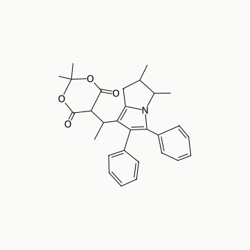 CC1Cc2c(C(C)C3C(=O)OC(C)(C)OC3=O)c(-c3ccccc3)c(-c3ccccc3)n2C1C